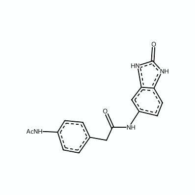 CC(=O)Nc1ccc(CC(=O)Nc2ccc3[nH]c(=O)[nH]c3c2)cc1